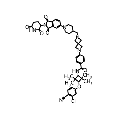 CC1(C)[C@H](NC(=O)c2ccc(N3CC4(CN(CC5CCN(c6ccc7c(c6)C(=O)N(C6CCC(=O)NC6=O)C7=O)CC5)C4)C3)cc2)C(C)(C)[C@H]1Oc1ccc(C#N)c(Cl)c1